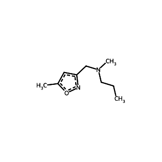 CCCN(C)Cc1cc(C)on1